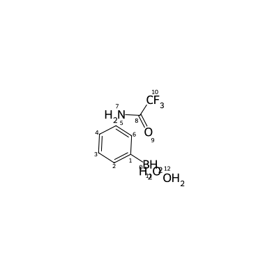 Bc1ccccc1.NC(=O)C(F)(F)F.O.O